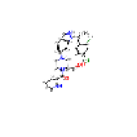 CC(c1ccc(Cl)cc1F)n1ncc2ccc(N3CCN(C(=O)C4CCCCN4)C(CO)C3)cc21